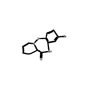 O=C1Nc2cc(Br)ccc2SN2CCCCC12